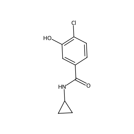 O=C(NC1CC1)c1ccc(Cl)c(O)c1